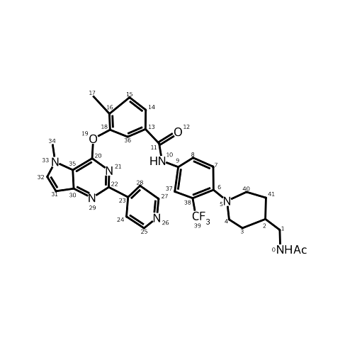 CC(=O)NCC1CCN(c2ccc(NC(=O)c3ccc(C)c(Oc4nc(-c5ccncc5)nc5ccn(C)c45)c3)cc2C(F)(F)F)CC1